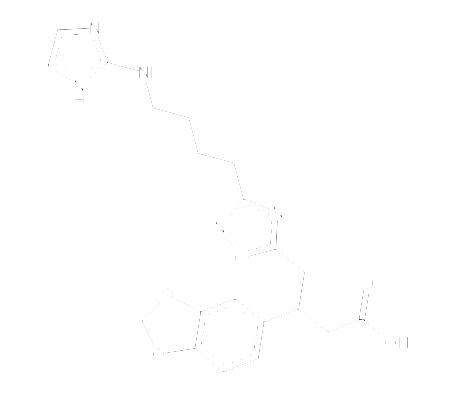 O=C(O)CC(Cc1nc(CCCCNc2ncc[nH]2)no1)c1ccc2c(c1)OCO2